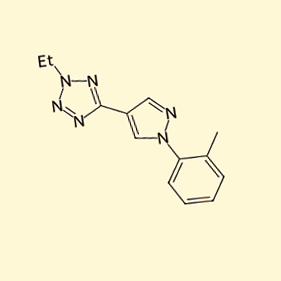 CCn1nnc(-c2cnn(-c3ccccc3C)c2)n1